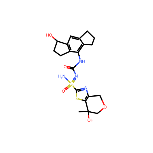 CC1(O)COCc2nc(S(N)(=O)=NC(=O)Nc3c4c(cc5c3CCC5O)CCC4)sc21